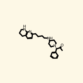 CC(=O)[C@H](c1ccccc1)N1CCC(NCCCCc2ccc3c(n2)NCCC3)CC1